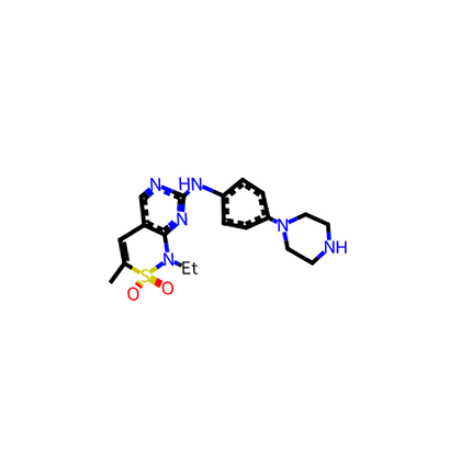 CCN1c2nc(Nc3ccc(N4CCNCC4)cc3)ncc2C=C(C)S1(=O)=O